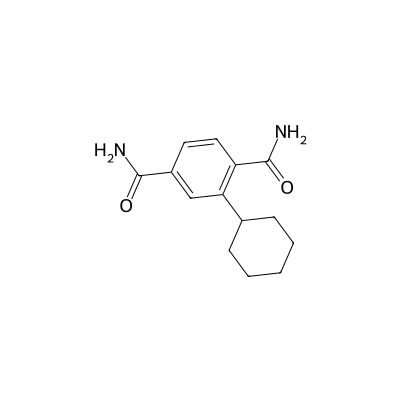 NC(=O)c1ccc(C(N)=O)c(C2CCCCC2)c1